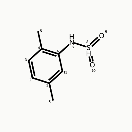 Cc1ccc(C)c(N[SH](=O)=O)c1